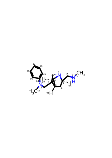 CNC[C@H]1C[C@@H]2CC[N@@]1C[C@@H]2CN(C)c1ccccc1